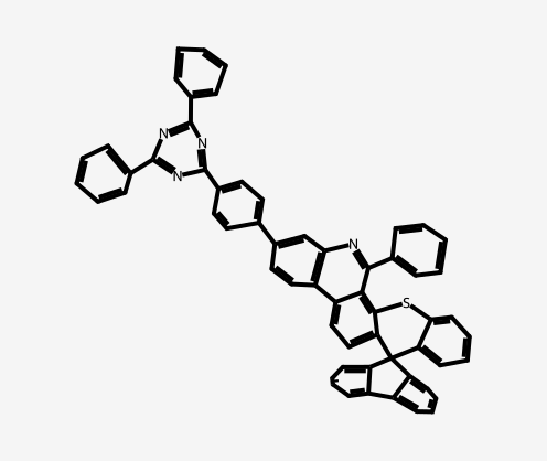 c1ccc(-c2nc(-c3ccccc3)nc(-c3ccc(-c4ccc5c(c4)nc(-c4ccccc4)c4c6c(ccc45)C4(c5ccccc5S6)c5ccccc5-c5ccccc54)cc3)n2)cc1